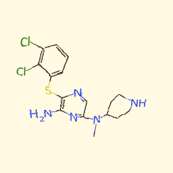 CN(c1cnc(Sc2cccc(Cl)c2Cl)c(N)n1)C1CCNCC1